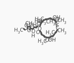 CCC[C@@H]1OC([C@@H](O)C/C=C/[C@@H]2OC(=O)/C=C/C=C/[C@@H](OC)[C@H](O)/C=C/C(C)=C/C(C)CCC[C@@H](OC)[C@H](O)/C=C/C(C)=C/[C@@H](C)[C@H](O)[C@H]2OC)[C@H](O)[C@@H]1OC